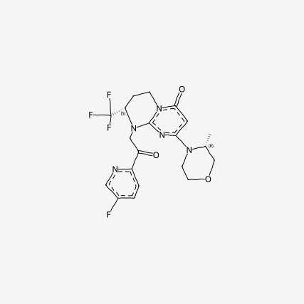 C[C@@H]1COCCN1c1cc(=O)n2c(n1)N(CC(=O)c1ccc(F)cn1)[C@H](C(F)(F)F)CC2